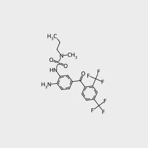 CCCN(C)S(=O)(=O)Nc1cc(C(=O)c2ccc(C(F)(F)F)cc2C(F)(F)F)ccc1N